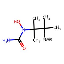 CNC(C)(C)C(C)(C)N(O)C(N)=O